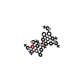 C=C/C=C(\C(=C/C(C)(C)C)c1ccc(-c2cc(C(C)(C)C)ccn2)cc1)C1CC(c2ccccc2-c2ccc(-c3cnc(-c4ccc(C5=C(C6CC(c7ccc(C(C)(C)C)cc7C7=CC=C(c8cc(C(C)(C)C)ccn8)C=CC7)CC(c7ccc(C(C)(C)C)cc7-c7ccc(-c8cc(C(C)(C)C)ccn8)cc7)C6)C=CC=CC5)cc4)cn3)cc2)CC(c2ccc(C(C)(C)C)cc2-c2ccc(-c3cc(C(C)(C)C)ccn3)cc2)C1